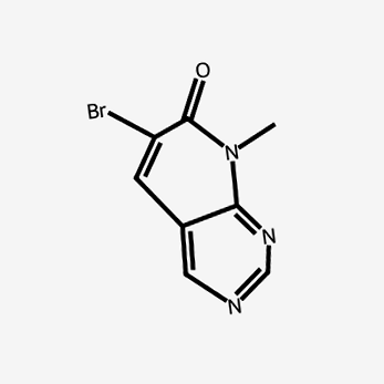 Cn1c(=O)c(Br)cc2cncnc21